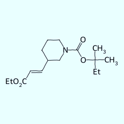 CCOC(=O)/C=C/C1CCCN(C(=O)OC(C)(C)CC)C1